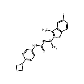 Cc1c([C@H](NC(=O)Nc2cnc(N3CCC3)nc2)C(F)(F)F)oc2ccc(F)cc12